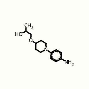 CC(O)COC1CCN(c2ccc(N)cc2)CC1